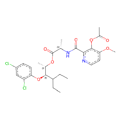 CCC(CC)[C@@H](Oc1ccc(Cl)cc1Cl)[C@H](C)OC(=O)[C@H](C)NC(=O)c1nccc(OC)c1OC(C)=O